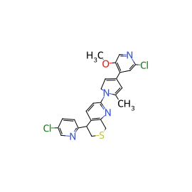 COc1cnc(Cl)cc1C1=CCN(c2ccc3c(n2)CSCC3c2ccc(Cl)cn2)C(C)=C1